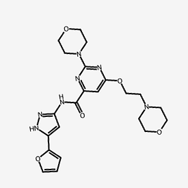 O=C(Nc1cc(-c2ccco2)[nH]n1)c1cc(OCCN2CCOCC2)nc(N2CCOCC2)n1